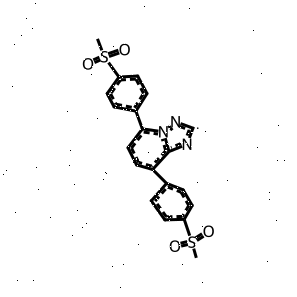 CS(=O)(=O)c1ccc(-c2ccc(-c3ccc(S(C)(=O)=O)cc3)n3n[c]nc23)cc1